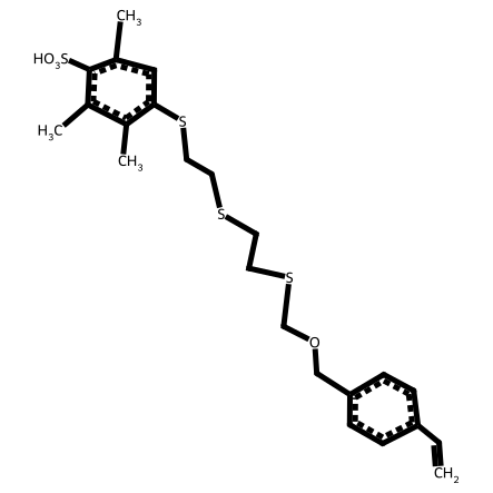 C=Cc1ccc(COCSCCSCCSc2cc(C)c(S(=O)(=O)O)c(C)c2C)cc1